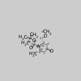 COC[C@@H]1CC(=O)C[C@H](C)N1C(=O)OC(C)(C)C